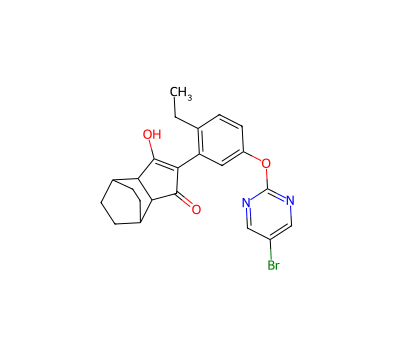 CCc1ccc(Oc2ncc(Br)cn2)cc1C1=C(O)C2C3CCC(CC3)C2C1=O